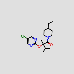 CCC1CCN(C(=O)C(C)(Oc2ncc(Cl)cn2)C(C)C)CC1